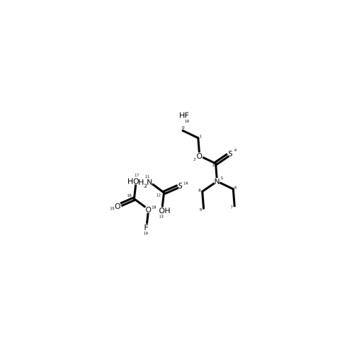 CCOC(=S)N(CC)CC.F.NC(O)=S.O=C(O)OF